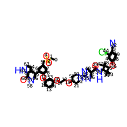 CCS(=O)(=O)Cc1ccc(Oc2cccc(OCCOC3CCN(c4ncc(C(=O)N[C@H]5C(C)(C)[C@H](Oc6ccc(C#N)c(Cl)c6)C5(C)C)cn4)CC3)c2)c(-c2cn(C)c(=O)c3[nH]ccc23)c1